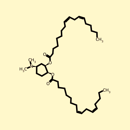 CCCC/C=C\C/C=C\CCCCCCCC(=O)O[C@H]1CC[C@@H](N(C)C)C[C@H]1OC(=O)CCCCCCC/C=C\C/C=C\CCCCC